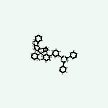 c1ccc(-c2nc(-c3ccccc3)nc(-c3cccc(-c4ccc5c(c4)C4(c6ccccc6O5)c5ccccc5-c5c4ccc4sc6ccccc6c54)c3)n2)cc1